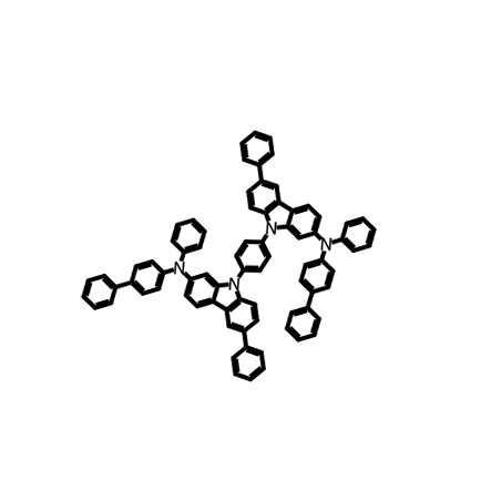 c1ccc(-c2ccc(N(c3ccccc3)c3ccc4c5cc(-c6ccccc6)ccc5n(-c5ccc(-n6c7ccc(-c8ccccc8)cc7c7ccc(N(c8ccccc8)c8ccc(-c9ccccc9)cc8)cc76)cc5)c4c3)cc2)cc1